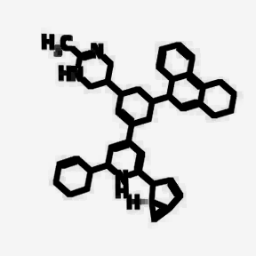 CC1=NCC(C2C=C(C3=CC(C4C=CCCC4)NC(C4C=CC5=C[C@H]54)=C3)CC(C3C=C4CCCCC4=C4C=CC=CC43)C2)CN1